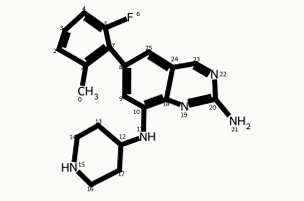 Cc1cccc(F)c1-c1cc(NC2CCNCC2)c2nc(N)ncc2c1